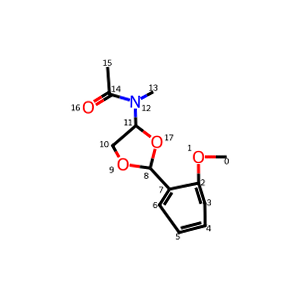 COc1ccccc1C1OCC(N(C)C(C)=O)O1